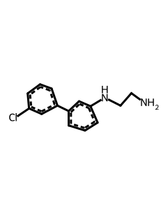 NCCNc1cccc(-c2cccc(Cl)c2)c1